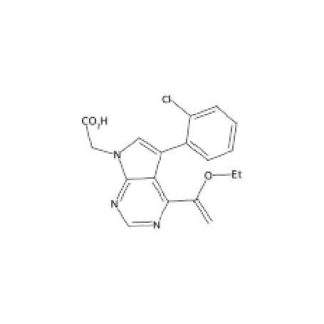 C=C(OCC)c1ncnc2c1c(-c1ccccc1Cl)cn2CC(=O)O